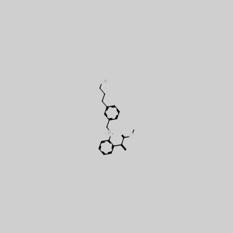 C=C(C(=O)OC)c1ccccc1NCc1cccc(CCCO)c1